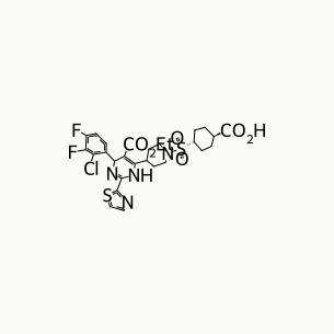 CCOC(=O)C1=C(C2CCN(S(=O)(=O)[C@H]3CC[C@H](C(=O)O)CC3)CC2)NC(c2nccs2)=NC1c1ccc(F)c(F)c1Cl